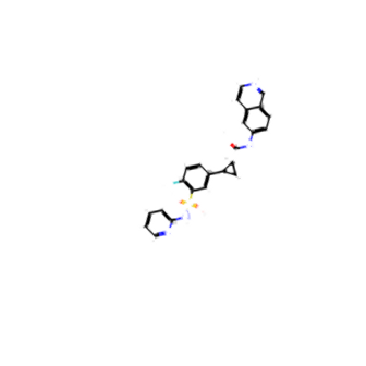 O=C(Nc1ccc2cnccc2c1)[C@@H]1CC1c1ccc(F)c(S(=O)(=O)Nc2ccccn2)c1